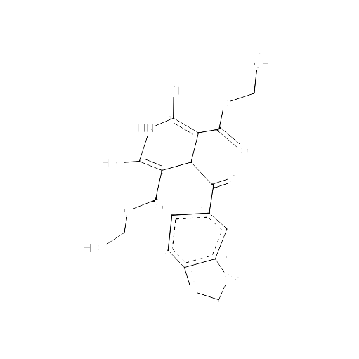 CCOC(=O)C1=C(C)NC(C)=C(C(=O)OCC)C1C(=O)c1ccc2c(c1)OCO2